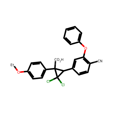 CCOc1ccc(C2(C(=O)O)C(c3ccc(C#N)c(Oc4ccccc4)c3)C2(Cl)Cl)cc1